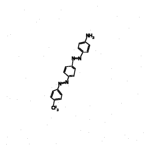 Nc1ccc(N=Nc2ccc(N=Nc3ccc(C(F)(F)F)cc3)cc2)cc1